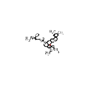 CCC1CN2CCc3cc(C)c(C)cc3C2CC1CC1c2cc(OC)c(OC)cc2CCN1C(=S)SCCC(N)=O